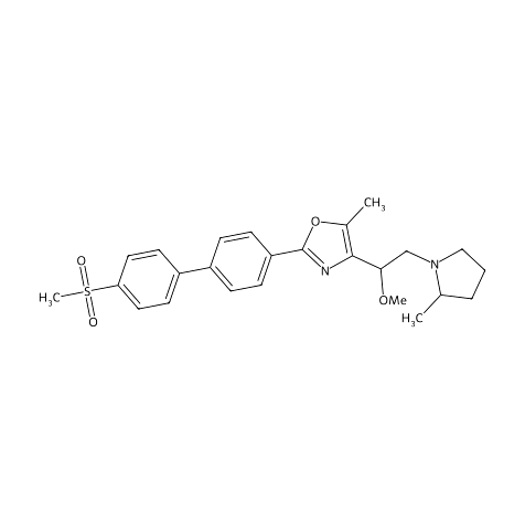 COC(CN1CCCC1C)c1nc(-c2ccc(-c3ccc(S(C)(=O)=O)cc3)cc2)oc1C